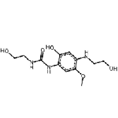 COc1cc(NC(=O)NCCO)c(O)cc1NCCO